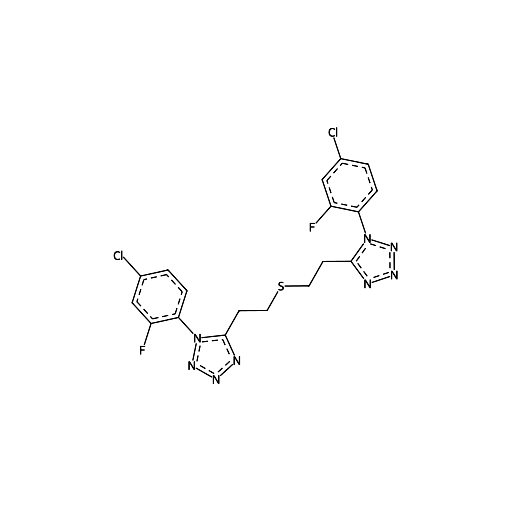 Fc1cc(Cl)ccc1-n1nnnc1CCSCCc1nnnn1-c1ccc(Cl)cc1F